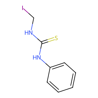 S=C(NCI)Nc1ccccc1